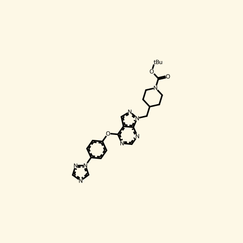 CC(C)(C)OC(=O)N1CCC(Cn2ncc3c(Oc4ccc(-n5cncn5)cc4)ncnc32)CC1